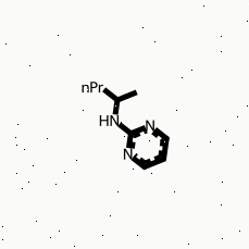 CCCC(C)Nc1ncccn1